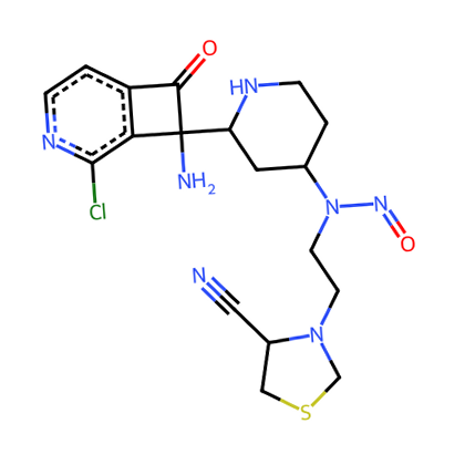 N#CC1CSCN1CCN(N=O)C1CCNC(C2(N)C(=O)c3ccnc(Cl)c32)C1